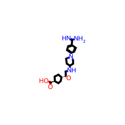 N=C(N)c1ccc(N2CCC(NCC(=O)[C@H]3CC[C@H](C(=O)O)CC3)CC2)cc1